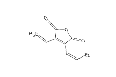 C=CC1=C(/C=C\CC)C(=O)OC1=O